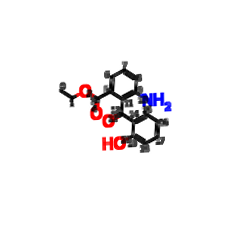 CCOC(=O)c1cccc(N)c1C(=O)c1ccccc1O